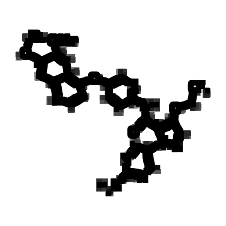 CCC(C)Oc1cc2nccc(Oc3ccc(NC(=O)c4c(OCC(F)(F)F)cnn4-c4cnc(N)nc4)nc3)c2cc1OC